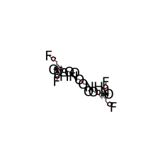 O=C(COc1ccc([C@@H]2[C@@H](CCCc3ccc(F)cc3)C(=O)N2c2ccc(F)cc2)cc1)NCCOCCOCCNC(=O)COc1ccc([C@@H]2[C@@H](CCCc3ccc(F)cc3)C(=O)N2c2ccc(F)cc2)cc1